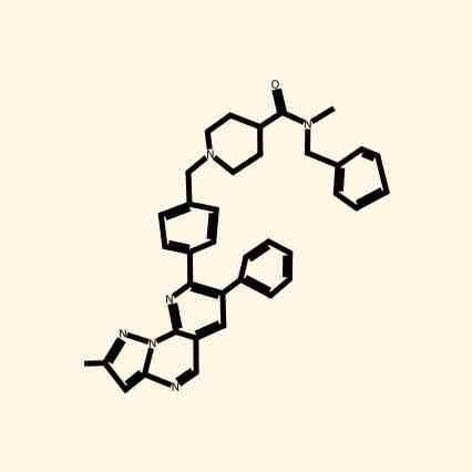 Cc1cc2ncc3cc(-c4ccccc4)c(-c4ccc(CN5CCC(C(=O)N(C)Cc6ccccc6)CC5)cc4)nc3n2n1